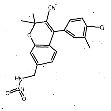 Cc1cc(C2=C(C#N)C(C)(C)Oc3cc(CN[SH](=O)=O)ccc32)ccc1Cl